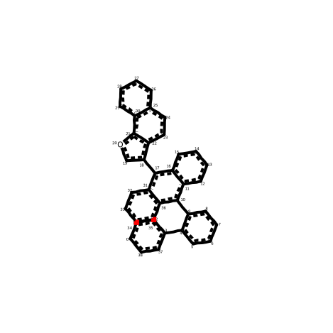 c1ccc(-c2ccccc2-c2c3ccccc3c(-c3coc4c3ccc3ccccc34)c3ccccc23)cc1